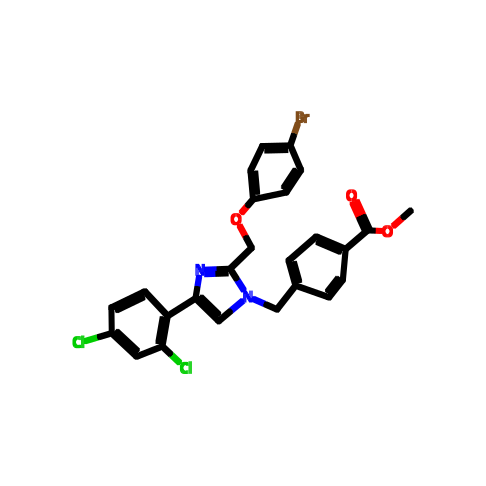 COC(=O)c1ccc(Cn2cc(-c3ccc(Cl)cc3Cl)nc2COc2ccc(Br)cc2)cc1